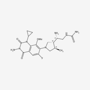 COc1c(N2C[C@H]([C@H](N)CNC(N)=O)[C@@H](C)C2)c(F)cc2c(=O)n(N)c(=O)n(C3CC3)c12